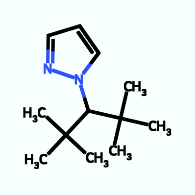 CC(C)(C)C(n1cccn1)C(C)(C)C